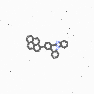 c1cc2ccc3ccc(-c4ccc5c(c4)c4ccccc4n4c6ccccc6nc54)c4ccc(c1)c2c34